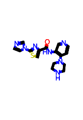 O=C(Nc1cnccc1N1CCNCC1)c1csc(-n2ccnc2)n1